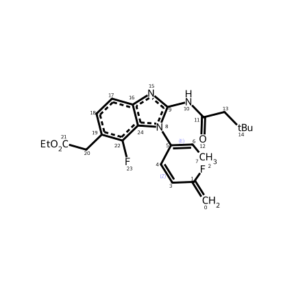 C=C(F)/C=C\C(=C/C)n1c(NC(=O)CC(C)(C)C)nc2ccc(CC(=O)OCC)c(F)c21